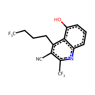 N#Cc1c(C(F)(F)F)nc2cccc(O)c2c1CCCC(F)(F)F